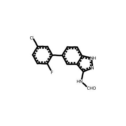 O=CNc1n[nH]c2ccc(-c3cc(Cl)ccc3F)cc12